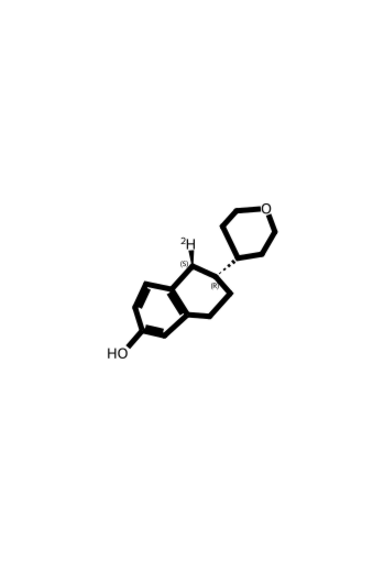 [2H][C@@H]1c2ccc(O)cc2CC[C@H]1C1CCOCC1